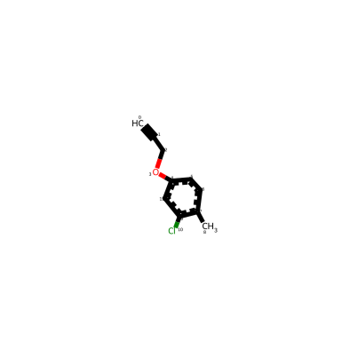 C#CCOc1ccc(C)c(Cl)c1